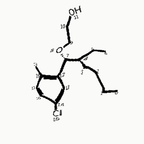 CCCC[C@H](CC)[C@@H](OCCO)c1cc(Cl)ccc1C